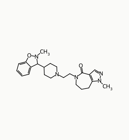 CN1Oc2ccccc2C1C1CCN(CCN2CCCc3c(cnn3C)C2=O)CC1